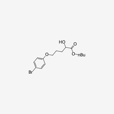 CCCCOC(=O)C(O)CCCOc1ccc(Br)cc1